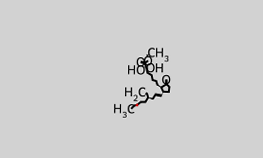 C=C[C@@H](CC=C[C@H]1CCC(=O)[C@@H]1CCCCCC(O)(O)C(=O)OCC)CCCCC